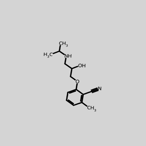 Cc1cccc(OCC(O)CNC(C)C)c1C#N